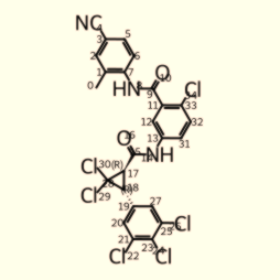 Cc1cc(C#N)ccc1NC(=O)c1cc(NC(=O)[C@H]2[C@H](c3cc(Cl)c(Cl)c(Cl)c3)C2(Cl)Cl)ccc1Cl